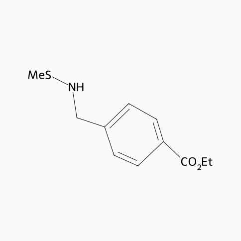 CCOC(=O)c1ccc(CNSC)cc1